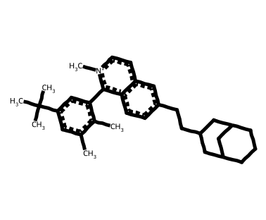 Cc1cc(C(C)(C)C)cc(-c2c3ccc(CCC4CC5CCCC(C5)C4)cc3cc[n+]2C)c1C